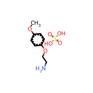 COc1ccc(OCCN)cc1.O=S(=O)(O)O